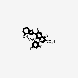 COc1c(-c2cc3c(s2)CCCC3O)c(F)cc2c(=O)c(C(=O)O)cn(-c3ccc(F)cc3F)c12